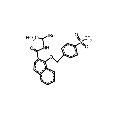 CC(C)(C)C(NC(=O)c1ccc2ccccc2c1OCc1ccc(S(=O)(=O)C(F)(F)F)cc1)C(=O)O